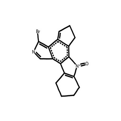 O=[N+]1C2=C(CCCC2)c2c1c1c(c3c2C=NC=3Br)=CCC1